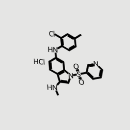 CNc1cn(S(=O)(=O)c2cccnc2)c2cc(Nc3ccc(C)cc3Cl)ccc12.Cl